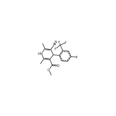 COC(=O)C1=C(C)NC(C)=C(C#N)C1c1ccc(F)cc1C(F)(F)F